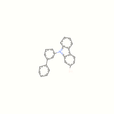 Bc1ccc2c3ccccc3n(-c3cccc(-c4ccccc4)c3)c2c1